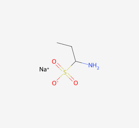 CCC(N)S(=O)(=O)[O-].[Na+]